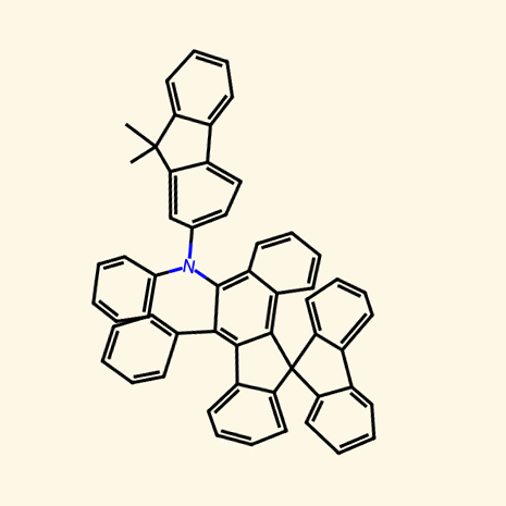 CC1(C)c2ccccc2-c2ccc(N(c3ccccc3)c3c(-c4ccccc4)c4c(c5ccccc35)C3(c5ccccc5-c5ccccc53)c3ccccc3-4)cc21